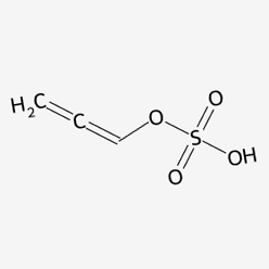 C=C=COS(=O)(=O)O